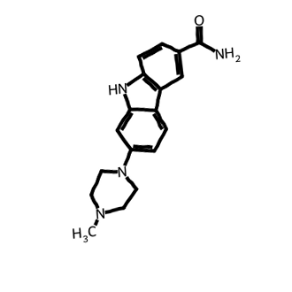 CN1CCN(c2ccc3c(c2)[nH]c2ccc(C(N)=O)cc23)CC1